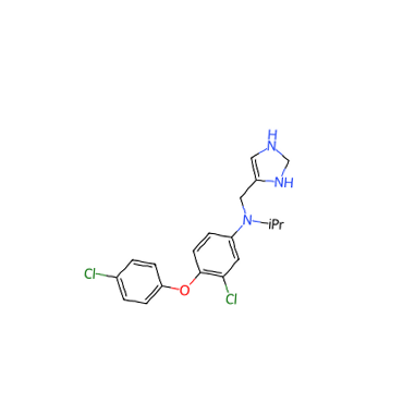 CC(C)N(CC1=CNCN1)c1ccc(Oc2ccc(Cl)cc2)c(Cl)c1